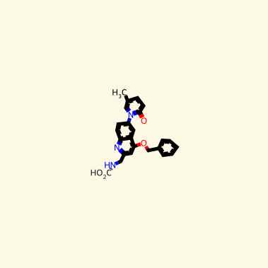 Cc1ccc(=O)n(-c2ccc3nc(CNC(=O)O)cc(OCc4ccccc4)c3c2)c1